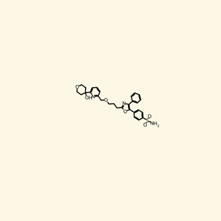 NS(=O)(=O)c1ccc(-c2oc(CCCOCc3cccc(C4(O)CCOCC4)n3)nc2-c2ccccc2)cc1